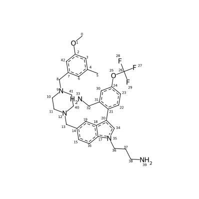 COc1cc(C)cc(CN2CCN(Cc3ccc4c(c3)c(-c3ccc(OC(F)(F)F)cc3CN)cn4CCCN)CC2)c1